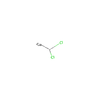 Cl[CH](Cl)[Ga]